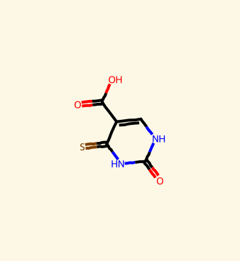 O=C(O)c1c[nH]c(=O)[nH]c1=S